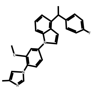 COc1cc(-n2ccc3c(C(C)c4ccc(F)cc4)cccc32)ccc1-n1cnc(C)c1